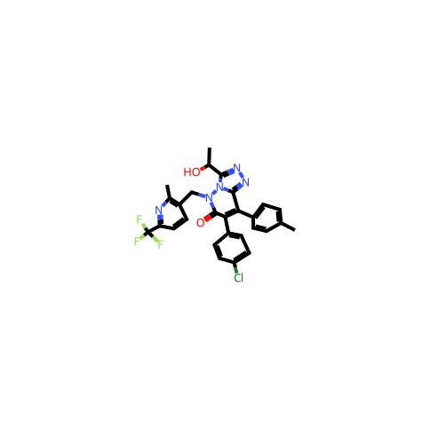 Cc1ccc(-c2c(-c3ccc(Cl)cc3)c(=O)n(Cc3ccc(C(F)(F)F)nc3C)n3c(C(C)O)nnc23)cc1